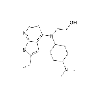 CCc1cc2c(N(CCO)C3CCC(N(C)C)CC3)ncnc2s1